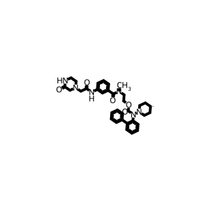 CN(CCOC(=O)N(c1ccccc1-c1ccccc1)N1CC[CH]CC1)C(=O)c1cccc(NC(=O)CN2CCNC(=O)C2)c1